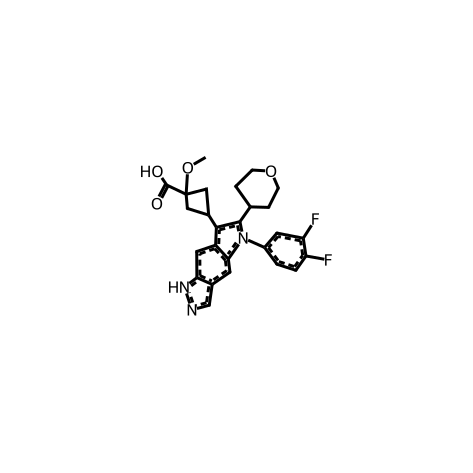 COC1(C(=O)O)CC(c2c(C3CCOCC3)n(-c3ccc(F)c(F)c3)c3cc4cn[nH]c4cc23)C1